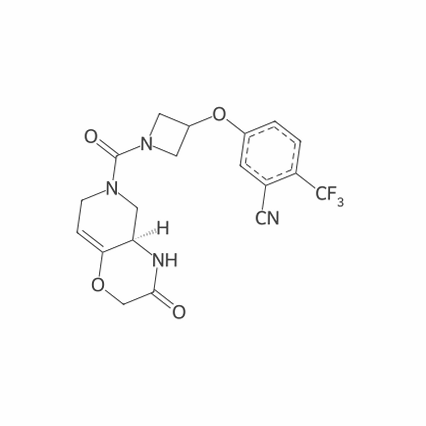 N#Cc1cc(OC2CN(C(=O)N3CC=C4OCC(=O)N[C@@H]4C3)C2)ccc1C(F)(F)F